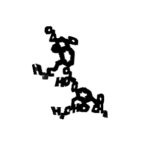 CCCc1c(OCC(O)COc2ccc3c(=O)cc(OC=O)oc3c2CCC)ccc(C(C)=O)c1O